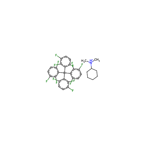 C[NH+](C)C1CCCCC1.Fc1ccc(F)c([B-](c2c(F)ccc(F)c2F)(c2c(F)ccc(F)c2F)c2c(F)ccc(F)c2F)c1F